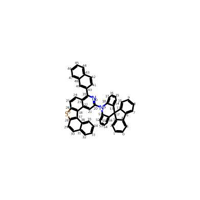 c1ccc2c(c1)-c1ccccc1C21c2ccccc2N(c2cc3c(ccc4sc5ccc6ccccc6c5c43)c(-c3ccc4ccccc4c3)n2)c2ccccc21